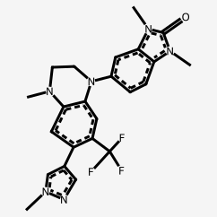 CN1CCN(c2ccc3c(c2)n(C)c(=O)n3C)c2cc(C(F)(F)F)c(-c3cnn(C)c3)cc21